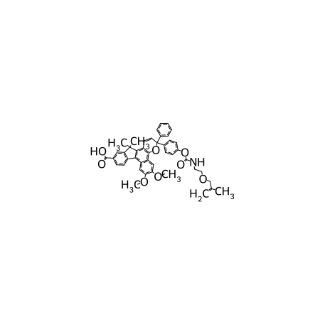 C=C(C)COCCNC(=O)Oc1ccc(C2(c3ccccc3)C=Cc3c4c(c5cc(OC)c(OC)cc5c3O2)-c2ccc(C(=O)O)cc2C4(C)C)cc1